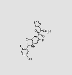 C[C@H](Nc1cc(F)c(S(=O)(=O)N(C(=O)O)c2cscn2)cc1Cl)c1cc(O)ccc1F